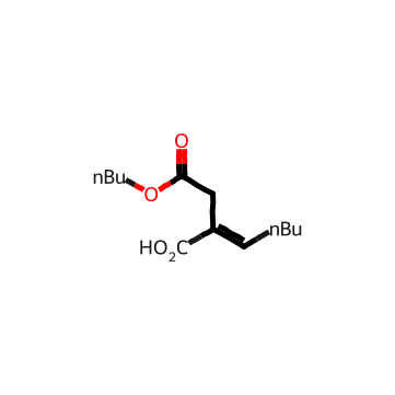 CCCCC=C(CC(=O)OCCCC)C(=O)O